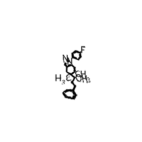 CC1=Cc2c(cnn2-c2ccc(F)cc2)C[C@]1(C)[C@H](O)CCc1ccccc1